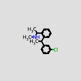 CNC(C)c1ccccc1C(C)c1cccc(Cl)c1